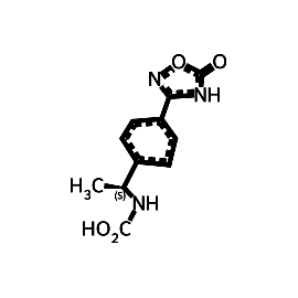 C[C@H](NC(=O)O)c1ccc(-c2noc(=O)[nH]2)cc1